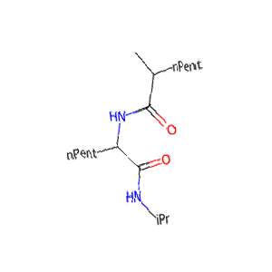 CCCCCC(C)C(=O)NC(CCCCC)C(=O)NC(C)C